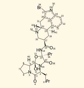 CC(C)C[C@H]1C(=O)N2CCC[C@H]2[C@]2(O)O[C@](NC(=O)[C@@H]3C[C@@H]4c5cccc6c5c(c(Br)n6C)C[C@H]4N(C)C3)(C(C)C)C(=O)N12